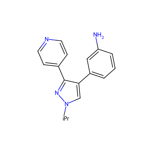 CC(C)n1cc(-c2cccc(N)c2)c(-c2ccncc2)n1